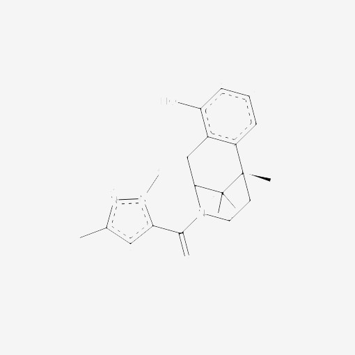 Cc1cc(C(=O)N2CC[C@@]3(C)c4cccc(O)c4CC2C3(C)C)n(C)n1